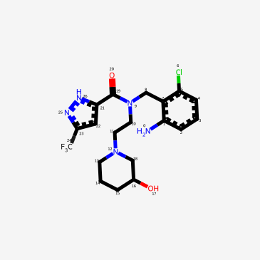 Nc1cccc(Cl)c1CN(CCN1CCCC(O)C1)C(=O)c1cc(C(F)(F)F)n[nH]1